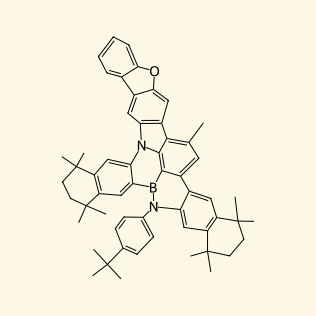 Cc1cc2c3c4c1c1cc5oc6ccccc6c5cc1n4-c1cc4c(cc1B3N(c1ccc(C(C)(C)C)cc1)c1cc3c(cc1-2)C(C)(C)CCC3(C)C)C(C)(C)CCC4(C)C